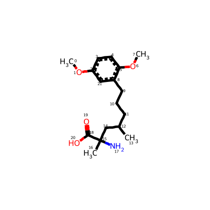 COc1ccc(OC)c(CCCC(C)CC(C)(N)C(=O)O)c1